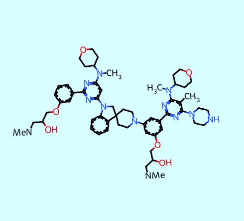 CNCC(O)COc1cccc(-c2nc(N3CC4(CCN(c5cc(OCC(O)CNC)cc(-c6nc(N7CCNCC7)c(C)c(N(C)C7CCOCC7)n6)c5)CC4)c4ccccc43)cc(N(C)C3CCOCC3)n2)c1